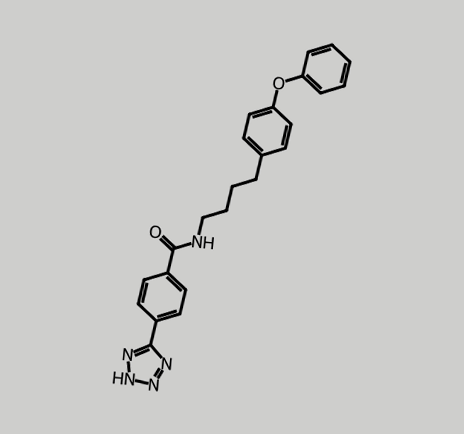 O=C(NCCCCc1ccc(Oc2ccccc2)cc1)c1ccc(-c2nn[nH]n2)cc1